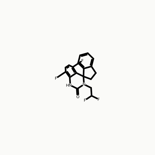 O=C1Nc2c(F)ccc(F)c2C2(CCc3ccccc32)N1CC(F)F